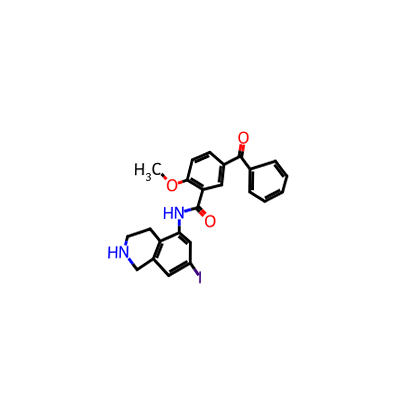 COc1ccc(C(=O)c2ccccc2)cc1C(=O)Nc1cc(I)cc2c1CCNC2